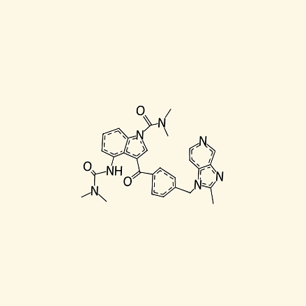 Cc1nc2cnccc2n1Cc1ccc(C(=O)c2cn(C(=O)N(C)C)c3cccc(NC(=O)N(C)C)c23)cc1